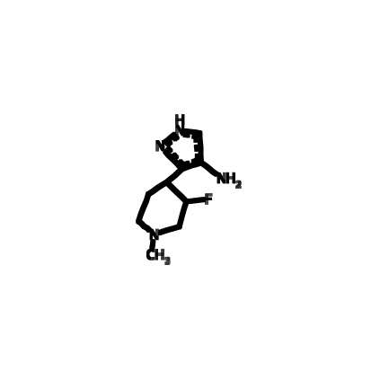 CN1CCC(c2n[nH]cc2N)C(F)C1